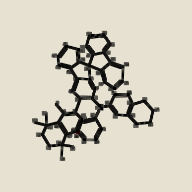 Cc1c(-c2cc3c(cc2N(c2ccccc2)c2ccc4c(c2)CCCC4)C2(c4ccccc4-c4ccccc42)c2ccccc2-3)ccc2c1C(C)(C)CCC2(C)C